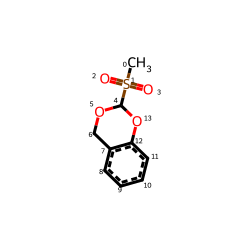 CS(=O)(=O)C1OCc2ccccc2O1